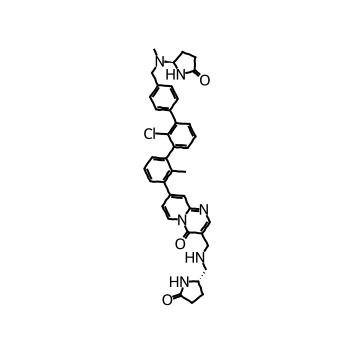 Cc1c(-c2ccn3c(=O)c(CNC[C@@H]4CCC(=O)N4)cnc3c2)cccc1-c1cccc(-c2ccc(CN(C)[C@H]3CCC(=O)N3)cc2)c1Cl